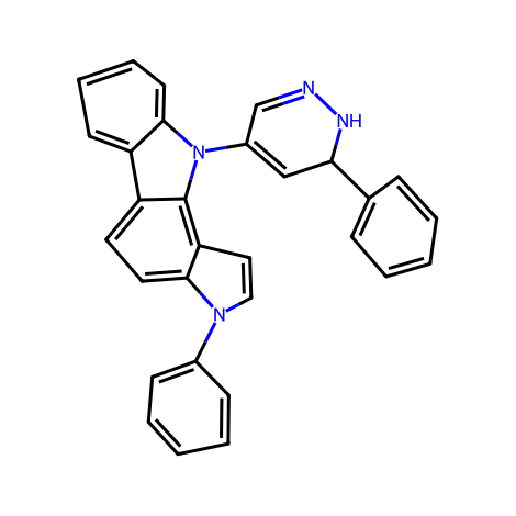 C1=NNC(c2ccccc2)C=C1n1c2ccccc2c2ccc3c(ccn3-c3ccccc3)c21